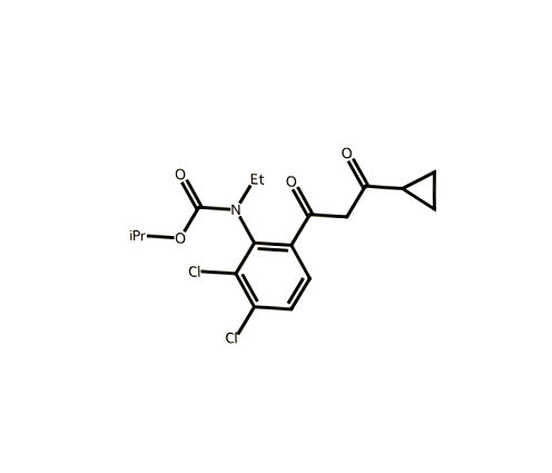 CCN(C(=O)OC(C)C)c1c(C(=O)CC(=O)C2CC2)ccc(Cl)c1Cl